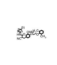 CCc1nnc(NC(=O)C(C#N)Cc2ccc(OCCOc3c(C)cccc3C)c(OC)c2)s1